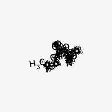 Cc1ccc(Oc2cccc(C(=O)NCC(=O)N3CC4(C[C@H]3C(=O)NCc3cc5cnccc5n3S(=O)(=O)c3ccccc3)OCCO4)c2)c(F)c1